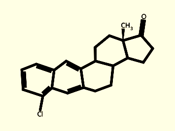 C[C@]12CCC3c4cc5cccc(Cl)c5cc4CCC3C1CCC2=O